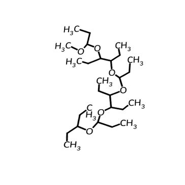 CCC(CC)OC(CC)OC(CC)C(CC)OC(CC)OC(CC)C(CC)OC(CC)OC